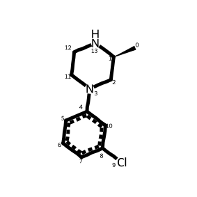 C[C@H]1CN(c2cccc(Cl)c2)CCN1